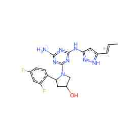 C/C=C/c1cc(Nc2nc(N)nc(N3CC(O)CC3c3ccc(F)cc3F)n2)n[nH]1